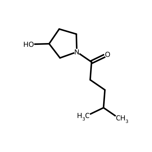 CC(C)CCC(=O)N1CCC(O)C1